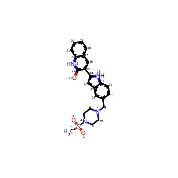 CS(=O)(=O)N1CCN(Cc2ccc3[nH]c(-c4cc5ccccc5[nH]c4=O)cc3c2)CC1